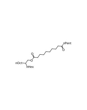 CCCCCCCCC(CCCCCC)COC(=O)CCCCCCCCC(=O)CCCCC